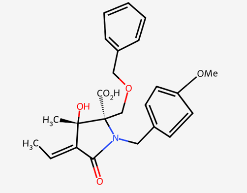 CC=C1C(=O)N(Cc2ccc(OC)cc2)[C@@](COCc2ccccc2)(C(=O)O)[C@@]1(C)O